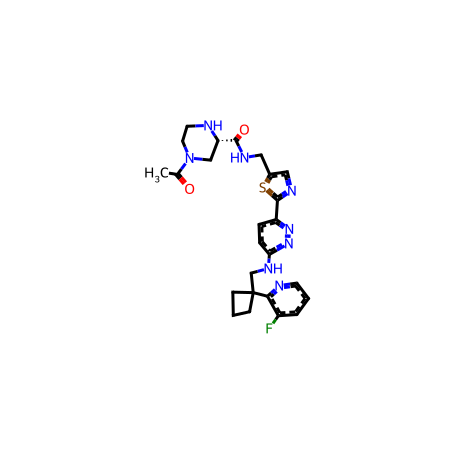 CC(=O)N1CCN[C@H](C(=O)NCc2cnc(-c3ccc(NCC4(c5ncccc5F)CCC4)nn3)s2)C1